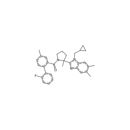 Cc1ccc(-c2ccccc2F)c(C(=O)N2CCCC2(C)c2nc3cc(C)c(C)cc3n2CC2CC2)c1